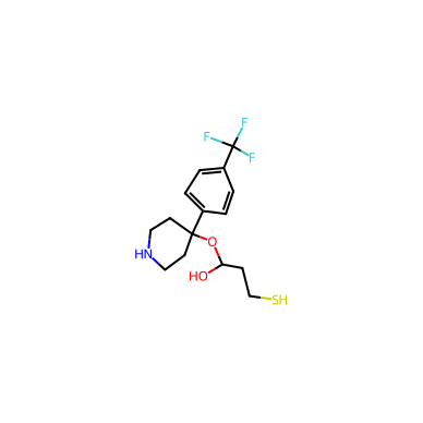 OC(CCS)OC1(c2ccc(C(F)(F)F)cc2)CCNCC1